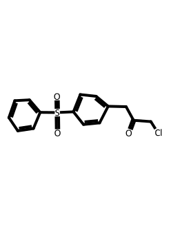 O=C(CCl)Cc1ccc(S(=O)(=O)c2ccccc2)cc1